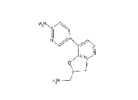 NCC1Cc2cccc(-c3ccc(N)nc3)c2O1